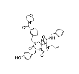 C=CCN1CC(=O)N2[C@@H](Cc3ccc(O)cc3)C(=O)N(Cc3cccc(C(=O)N4CCOCC4)c3)C[C@@H]2N1C(=O)NCc1ccccc1